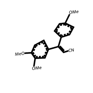 COc1ccc(/C(=C\C#N)c2ccc(OC)c(OC)c2)cc1